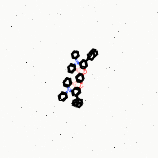 c1ccc(N2c3ccccc3B3c4cc5c(cc4Oc4cc(C67CC8CC(CC(C8)C6)C7)cc2c43)Oc2cc(C34CC6CC(C3)C(C6)C4)cc3c2B5c2ccccc2N3c2ccccc2)cc1